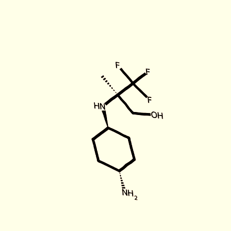 C[C@](CO)(N[C@H]1CC[C@H](N)CC1)C(F)(F)F